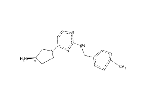 Cc1ccc(CNc2nccc(N3CC[C@@H](N)C3)n2)cc1